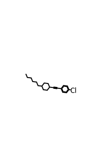 CCCCCCC1CCC(C#Cc2ccc(Cl)cc2)CC1